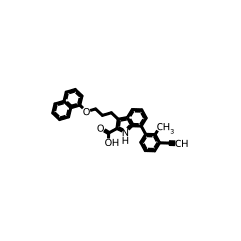 C#Cc1cccc(-c2cccc3c(CCCOc4cccc5ccccc45)c(C(=O)O)[nH]c23)c1C